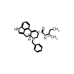 CC[C@@H](C)NC(=O)[C@H]1C=C2c3cccc4[nH]cc(c34)C[C@H]2N(Cc2ccccc2)C1